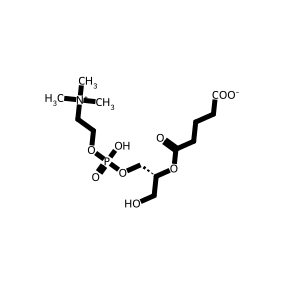 C[N+](C)(C)CCOP(=O)(O)OC[C@@H](CO)OC(=O)CCCC(=O)[O-]